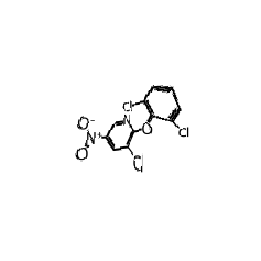 O=[N+]([O-])c1cnc(Oc2c(Cl)cccc2Cl)c(Cl)c1